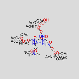 CC(=O)NC1C(OCCOCCNC(=O)CCC(NC(=O)CCC(NC(=O)C2CCC(OP(OCCC#N)N(C(C)C)C(C)C)CC2)C(=O)NCCOCCOC2OC(COC(C)=O)C(OC(C)=O)C(OC(C)=O)C2NC(C)=O)C(=O)NCCOCCOC2OC(COC(C)O)C(OC(C)=O)C(OC(C)=O)C2NC(C)=O)OC(COC(C)=O)C(OC(C)=O)C1OC(C)=O